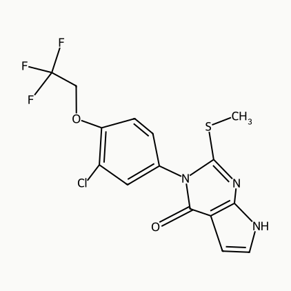 CSc1nc2[nH]ccc2c(=O)n1-c1ccc(OCC(F)(F)F)c(Cl)c1